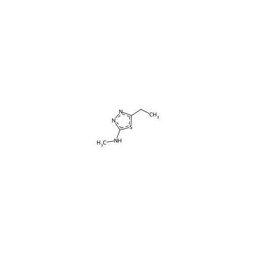 CCc1nnc(NC)s1